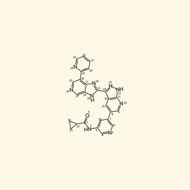 O=C(Nc1cncc(-c2cnc3[nH]nc(-c4nc5c(-c6ccccn6)cncc5[nH]4)c3c2)c1)C1CC1